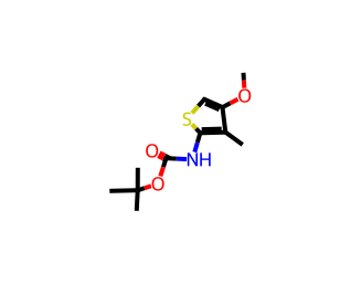 COc1csc(NC(=O)OC(C)(C)C)c1C